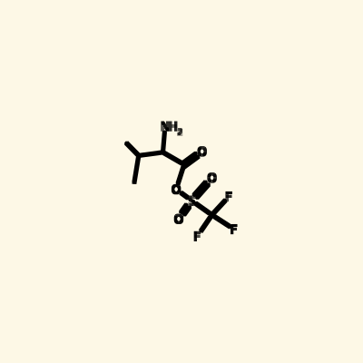 CC(C)C(N)C(=O)OS(=O)(=O)C(F)(F)F